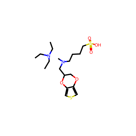 CCN(CC)CC.CN(CCCCS(=O)(=O)O)CC1COc2cscc2O1